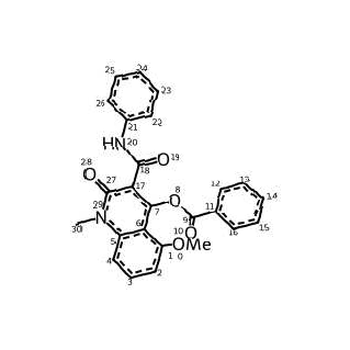 COc1cccc2c1c(OC(=O)c1ccccc1)c(C(=O)Nc1ccccc1)c(=O)n2C